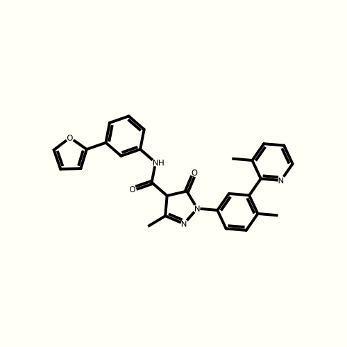 CC1=NN(c2ccc(C)c(-c3ncccc3C)c2)C(=O)C1C(=O)Nc1cccc(-c2ccco2)c1